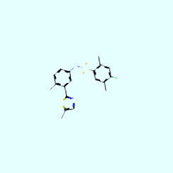 Cc1cnc(-c2cc(NS(=O)(=O)c3cc(C)c(Cl)cc3C)ccc2C)s1